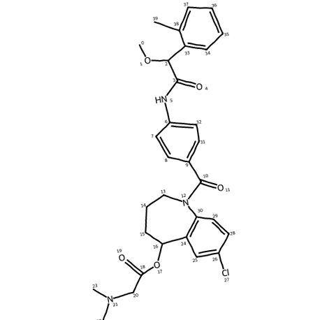 COC(C(=O)Nc1ccc(C(=O)N2CCCC(OC(=O)CN(C)C)c3cc(Cl)ccc32)cc1)c1ccccc1C